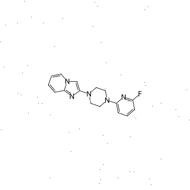 Fc1cccc(N2CCN(c3cn4ccccc4n3)CC2)n1